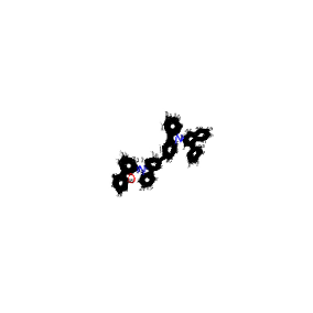 c1ccc(-c2cc(-n3c4ccccc4c4cc(-c5ccc6c(c5)c5ccccc5n6-c5cccc6c5oc5ccccc56)ccc43)cc3ccccc23)cc1